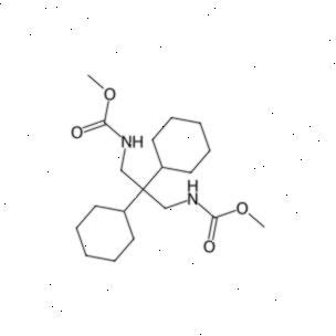 COC(=O)NCC(CNC(=O)OC)(C1CCCCC1)C1CCCCC1